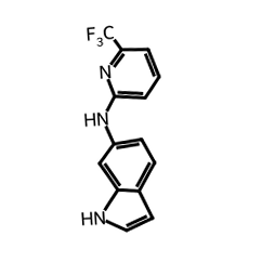 FC(F)(F)c1cccc(Nc2ccc3cc[nH]c3c2)n1